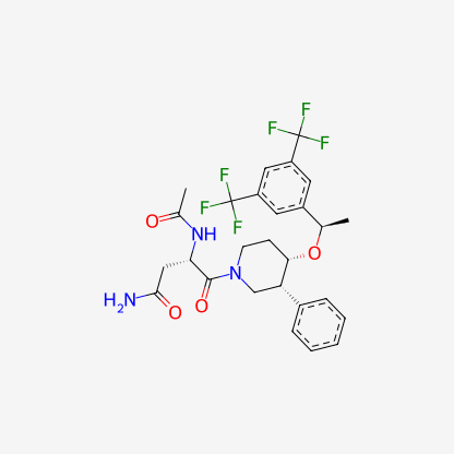 CC(=O)N[C@@H](CC(N)=O)C(=O)N1CC[C@H](O[C@H](C)c2cc(C(F)(F)F)cc(C(F)(F)F)c2)[C@H](c2ccccc2)C1